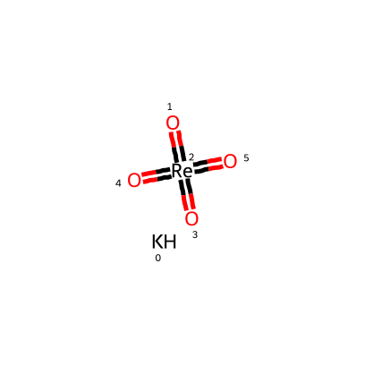 [KH].[O]=[Re](=[O])(=[O])=[O]